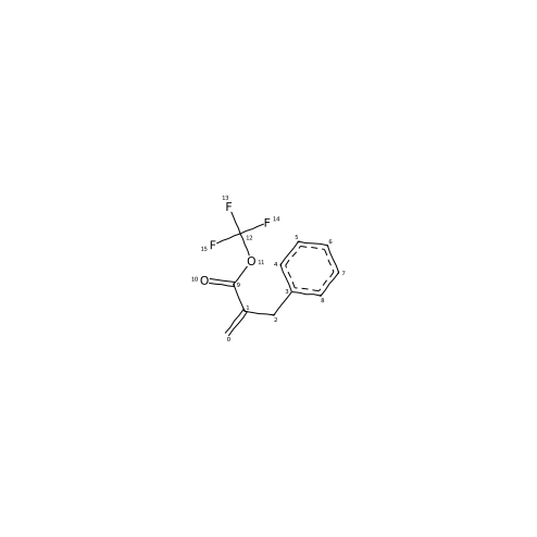 C=C(Cc1ccccc1)C(=O)OC(F)(F)F